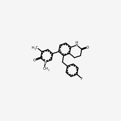 Cc1cc(-c2ccc3c(c2Cc2ccc(F)cc2)CCC(=O)N3)cn(C)c1=O